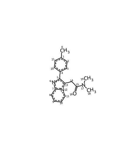 Cc1ccc(-c2nc3ccccn3c2CC(=O)N(C)C)cc1